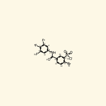 O=C(Nc1cc(F)c(F)c(F)c1)c1ccc(Br)c(S(=O)(=O)Cl)c1